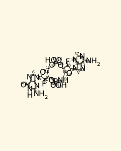 Nc1nc2c(ncn2C2OC3COP(=O)(O)OC4C(CNP(=O)(O)OC3C2F)OC(n2cnc3c(N)ncnc32)C4F)c(=O)[nH]1